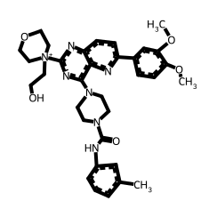 COc1ccc(-c2ccc3nc([N+]4(CCO)CCOCC4)nc(N4CCN(C(=O)Nc5cccc(C)c5)CC4)c3n2)cc1OC